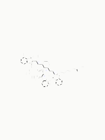 CCC[N+]1=C(/C=C/C2=C(N(N)/C=C(\N)c3ccccn3)C(=C/C=C3/N(CCCCCC(=O)O)c4ccccc4C3(C)C)/CCC2)C(C)(C)c2ccccc21